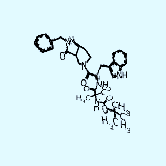 CC(C)(C)OC(=O)NC(C)(C)C(=O)N[C@H](Cc1c[nH]c2ccccc12)C(=O)N1CCC2=NN(Cc3ccccc3)C(=O)C2C1